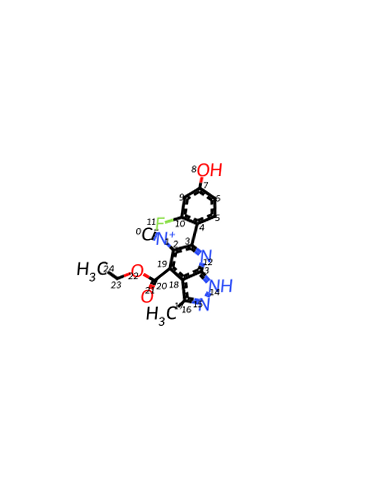 [C-]#[N+]c1c(-c2ccc(O)cc2F)nc2[nH]nc(C)c2c1C(=O)OCC